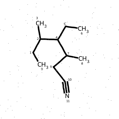 CCC(C)C(CC)C(C)CC#N